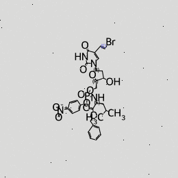 CC(C)C[C@H](NP(=O)(OC[C@H]1O[C@@H](n2cc(/C=C/Br)c(=O)[nH]c2=O)CC1O)Oc1ccc([N+](=O)[O-])cc1)C(=O)OCc1ccccc1